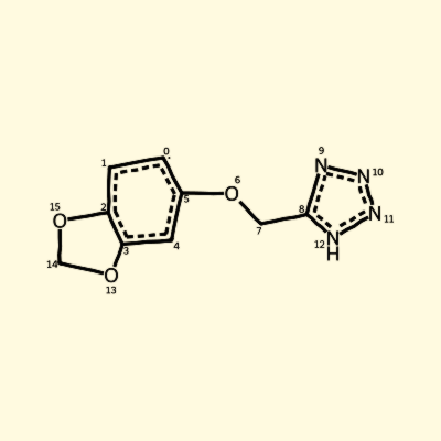 [c]1cc2c(cc1OCc1nnn[nH]1)OCO2